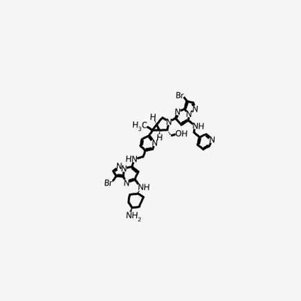 CC1(c2ccc(CNc3cc(N[C@H]4CC[C@H](N)CC4)nc4c(Br)cnn34)cn2)[C@@H]2[C@@H](CO)N(c3cc(NCc4cccnc4)n4ncc(Br)c4n3)C[C@@H]21